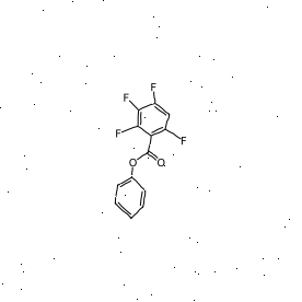 O=C(Oc1ccccc1)c1c(F)cc(F)c(F)c1F